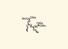 C=CCOC(OOC(OC)OC)OOC(OCC=C)OOC(OC)OC